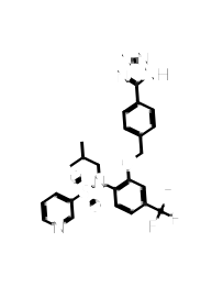 CC(C)CN(c1ccc(C(F)(F)F)cc1OCc1ccc(-c2nnn[nH]2)cc1)S(=O)(=O)c1cccnc1